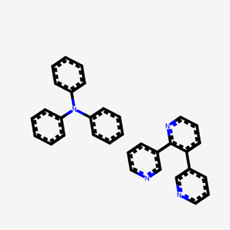 c1ccc(N(c2ccccc2)c2ccccc2)cc1.c1cncc(-c2cccnc2-c2cccnc2)c1